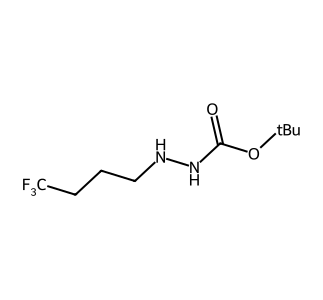 CC(C)(C)OC(=O)NNCCCC(F)(F)F